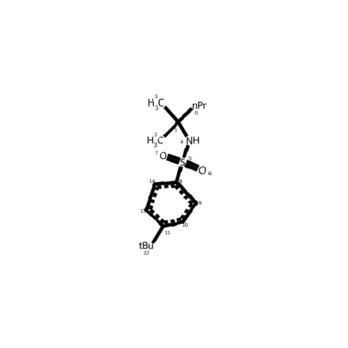 CCCC(C)(C)NS(=O)(=O)c1ccc(C(C)(C)C)cc1